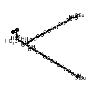 CC(C)(C)OC(=O)NCCOCCOCCOCCOCCOCCOCCOCCOCCOCCOCCOCCOCCC(=O)NCCC[C@H](NC(=O)CCOCCOCCOCCOCCOCCOCCOCCOCCOCCOCCOCCOCCNC(=O)OC(C)(C)C)C(=O)NCCCC[C@H](NC(=O)OCC1c2ccccc2-c2ccccc21)C(=O)O